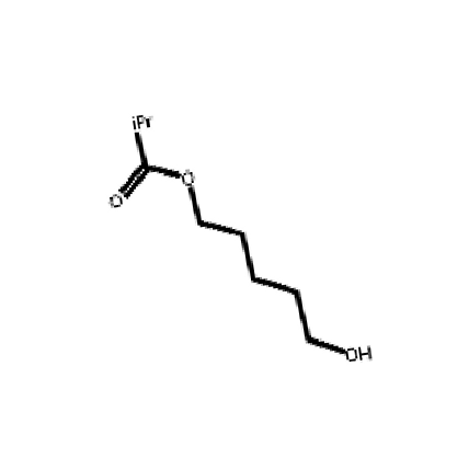 CC(C)C(=O)OCCCCCO